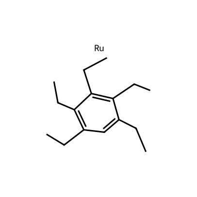 CCc1cc(CC)c(CC)c(CC)c1CC.[Ru]